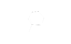 [CH2]C1=CCCCO1